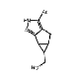 CC(=O)c1[nH]nc2c1CC1C(CO)C21